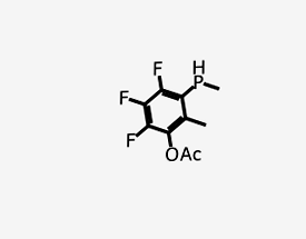 CPc1c(C)c(OC(C)=O)c(F)c(F)c1F